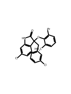 CC(C)c1cccc(C(=O)O)c1OC1(Cc2cccc(Cl)c2)C(=O)Nc2cc(Cl)ccc21